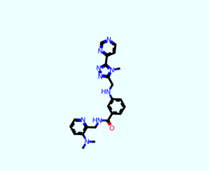 CN(C)c1cccnc1CNC(=O)c1cccc(NCc2nnc(-c3ccncn3)n2C)c1